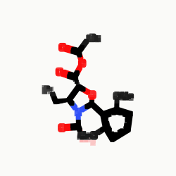 BC(=O)N1C(c2c(OC)cccc2OC)O[C@@H](C(=O)OC(=O)C(C)(C)C)[C@@H]1CC(C)C